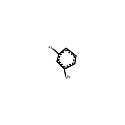 CCCc1[c]c(CC)ccc1